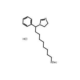 CCCCCCCCCCCCCCCCCCC(c1ccccc1)N1C=NCC1.Cl